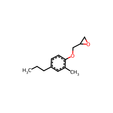 CCCc1ccc(OCC2CO2)c(C)c1